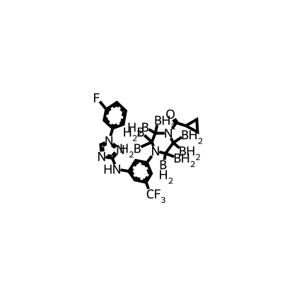 BC1(B)N(C(=O)C2CC2)C(B)(B)C(B)(B)N(c2cc(Nc3ncn(-c4cccc(F)c4)n3)cc(C(F)(F)F)c2)C1(B)B